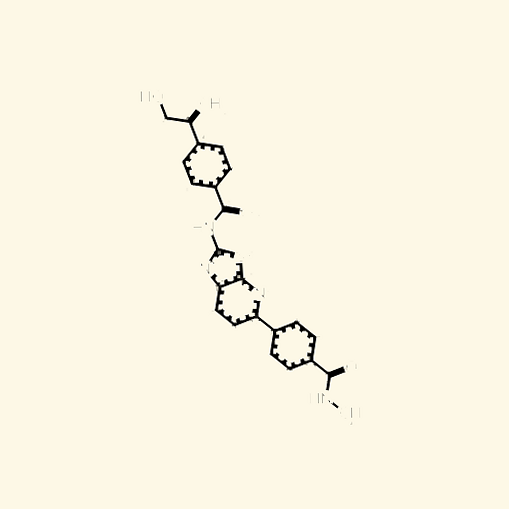 C=C(CO)c1ccc(C(=O)Nc2nc3ccc(-c4ccc(C(=O)NC)cc4)nc3s2)cc1